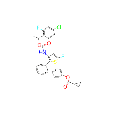 CC(OC(=O)Nc1cc(F)sc1-c1ccccc1-c1ccc(OC(=O)C2CC2)cc1)c1ccc(Cl)cc1F